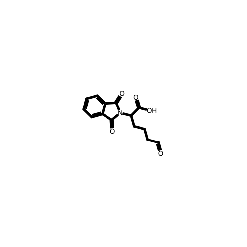 O=CCCCC(C(=O)O)N1C(=O)c2ccccc2C1=O